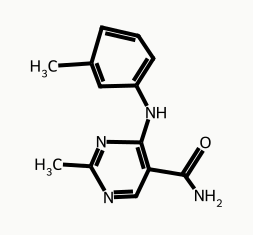 Cc1cccc(Nc2nc(C)ncc2C(N)=O)c1